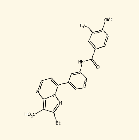 CCc1nn2c(-c3cccc(NC(=O)c4ccc(OC)c(C(F)(F)F)c4)c3)ccnc2c1C(=O)O